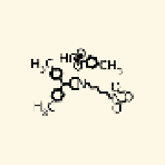 Cc1ccc(C(c2ccc(C)cc2)C2CCN(CCCCCCN3C(=O)COCC3=O)CC2)cc1.Cc1ccc(S(=O)(=O)O)cc1